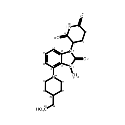 Cn1c(=O)n(C2CCC(=O)NC2=O)c2cccc(N3CCC(CC(=O)O)CC3)c21